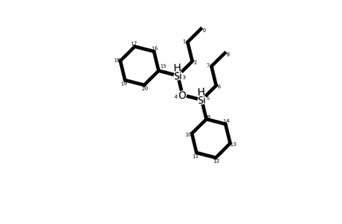 CCC[SiH](O[SiH](CCC)C1CCCCC1)C1CCCCC1